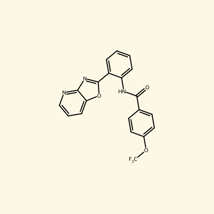 O=C(Nc1ccccc1-c1nc2ncccc2o1)c1ccc(OC(F)(F)F)cc1